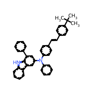 CC(C)(C)c1ccc(C=Cc2ccc(N(c3ccccc3)c3cc(-c4ccccc4)c4[nH]c5ccccc5c4c3)cc2)cc1